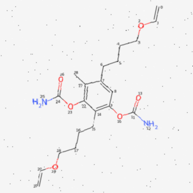 C=COCCCCc1cc(OC(N)=O)c(CCCCOC=C)c(OC(N)=O)c1C